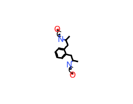 CC(Cc1ccccc1CC(C)N=C=O)N=C=O